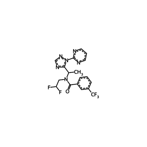 CC(c1ncnn1-c1ncccn1)N(CC(F)F)C(=O)c1cccc(C(F)(F)F)c1